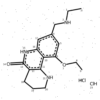 CCNCc1cc(OCC)c2c3c(c(=O)[nH]c2c1)CCCN3.Cl.Cl